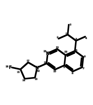 CC(C)C(C)c1cccc2cc(N3CCC(F)C3)ncc12